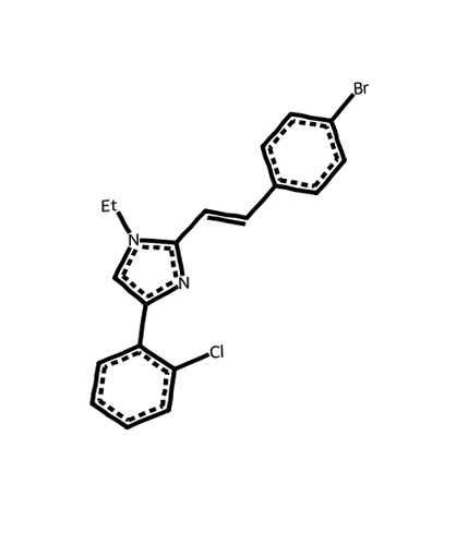 CCn1cc(-c2ccccc2Cl)nc1C=Cc1ccc(Br)cc1